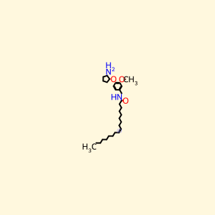 CCCCCCCC/C=C\CCCCCCCC(=O)NCc1ccc(OC2CCCC2N)c(OC)c1